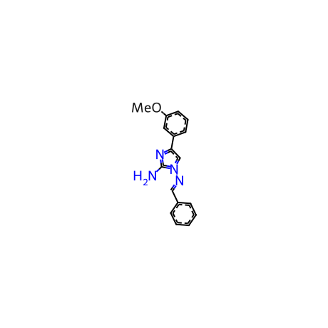 COc1cccc(-c2cn(/N=C/c3ccccc3)c(N)n2)c1